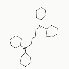 C1CC[CH]([Al]([CH2]CC[CH2][Al]([CH]2CCCCC2)[CH]2CCCCC2)[CH]2CCCCC2)CC1